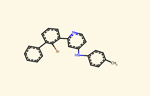 Cc1ccc(Nc2ccnc(-c3cccc(-c4ccccc4)c3Br)c2)cc1